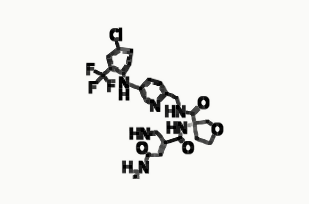 N=C/C(=C\C(N)=O)C(=O)N[C@@]1(C(=O)NCc2ccc(Nc3ccc(Cl)cc3C(F)(F)F)cn2)CCOC1